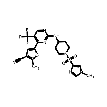 Cc1sc(-c2nc(NC3CCN(S(=O)(=O)c4cn(C)cn4)CC3)ncc2C(F)(F)F)cc1C#N